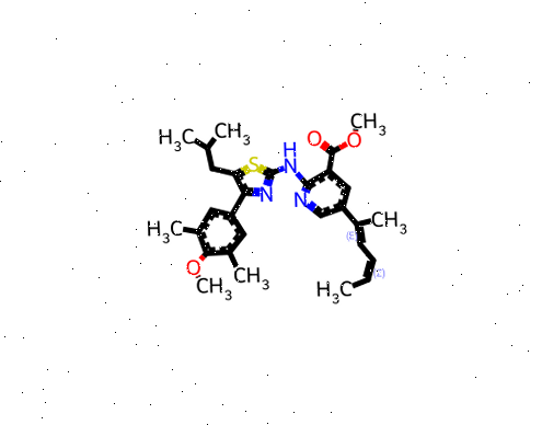 C/C=C\C=C(/C)c1cnc(Nc2nc(-c3cc(C)c(OC)c(C)c3)c(CC(C)C)s2)c(C(=O)OC)c1